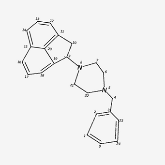 c1ccc(CN2CCN([C]3Cc4cccc5cccc3c45)CC2)cc1